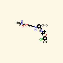 CC(NC(=O)COCCCCCNc1ccc(C=O)c(CN(C)C2C(C)(C)C(Oc3ccc(C#N)c(Cl)c3)C2(C)C)c1)C(C)(C)C